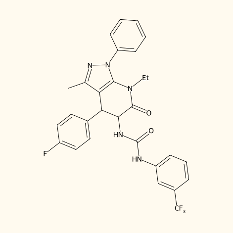 CCN1C(=O)C(NC(=O)Nc2cccc(C(F)(F)F)c2)C(c2ccc(F)cc2)c2c(C)nn(-c3ccccc3)c21